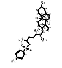 Cc1ccc(S(=O)(=O)CC(C)CCC[C@@H](C)[C@H]2CC[C@H]3[C@@H]4CC=C5CC(O)CC[C@]5(C)[C@H]4CC[C@]23C)cc1